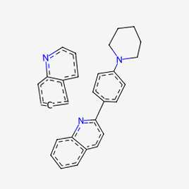 c1ccc2nc(-c3ccc(N4CCCCC4)cc3)ccc2c1.c1ccc2ncccc2c1